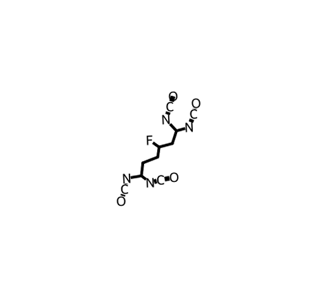 O=C=NC(CCC(F)CC(N=C=O)N=C=O)N=C=O